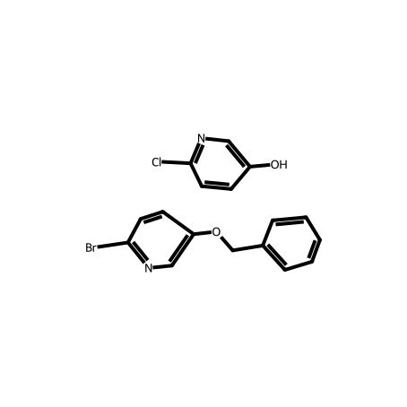 Brc1ccc(OCc2ccccc2)cn1.Oc1ccc(Cl)nc1